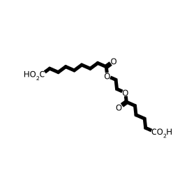 O=C(O)CCCCCCCC(=O)OCCOC(=O)CCCCC(=O)O